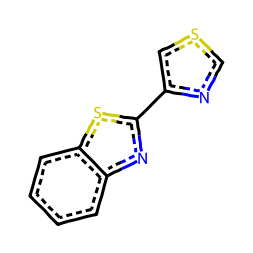 c1ccc2sc(-c3cscn3)nc2c1